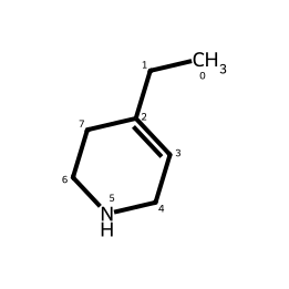 CCC1=CCNCC1